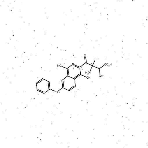 CCCC(C(=O)O)C(N)(F)C(=O)c1nc(C#N)c2cc(Oc3ccccc3)ccc2c1O